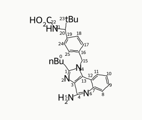 CCCCc1nc2c(N)nc3ccccc3c2n1Cc1ccc(C(NC(=O)O)C(C)(C)C)cc1